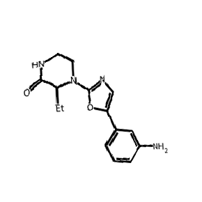 CCC1C(=O)NCCN1c1ncc(-c2cccc(N)c2)o1